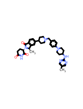 Cc1cnc(NC2CCN(c3ccc(CN4CCC(c5ccc6c(c5)[C@@H](C)N([C@H]5CCC(=O)NC5=O)C6=O)CC4)cc3)CC2)nc1